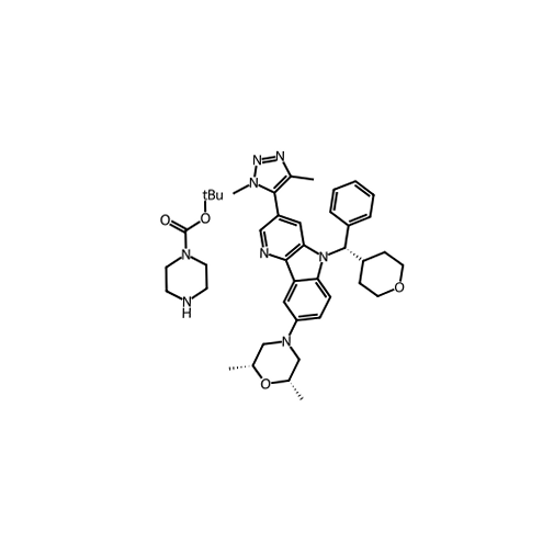 CC(C)(C)OC(=O)N1CCNCC1.Cc1nnn(C)c1-c1cnc2c3cc(N4C[C@@H](C)O[C@@H](C)C4)ccc3n([C@H](c3ccccc3)C3CCOCC3)c2c1